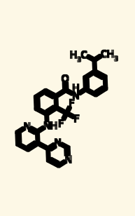 CC(C)c1cccc(NC(=O)c2cccc(Nc3ncccc3-c3ccncn3)c2C(F)(F)F)c1